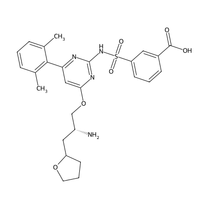 Cc1cccc(C)c1-c1cc(OC[C@H](N)CC2CCCO2)nc(NS(=O)(=O)c2cccc(C(=O)O)c2)n1